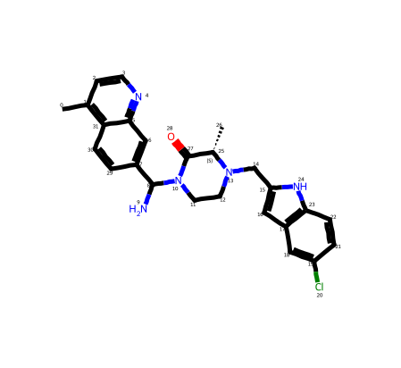 Cc1ccnc2cc(C(N)N3CCN(Cc4cc5cc(Cl)ccc5[nH]4)[C@@H](C)C3=O)ccc12